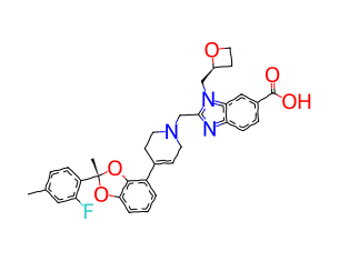 Cc1ccc([C@@]2(C)Oc3cccc(C4=CCN(Cc5nc6ccc(C(=O)O)cc6n5C[C@@H]5CCO5)CC4)c3O2)c(F)c1